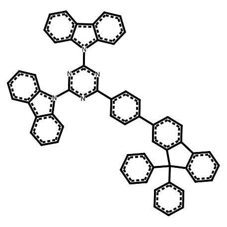 c1ccc(C2(c3ccccc3)c3ccccc3-c3ccc(-c4ccc(-c5nc(-n6c7ccccc7c7ccccc76)nc(-n6c7ccccc7c7ccccc76)n5)cc4)cc32)cc1